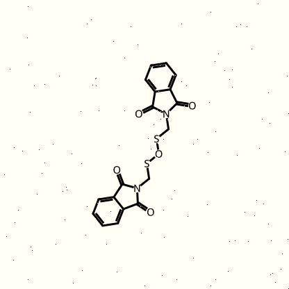 O=C1c2ccccc2C(=O)N1CSOSCN1C(=O)c2ccccc2C1=O